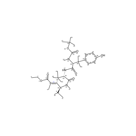 CCOC(=O)/C(C)=C/[C@H](C(C)C)N(C)C(=O)[C@@H](NC(=O)C(N(C)C(=O)OC(C)(C)C)C(C)(C)c1ccc(O)cc1)C(C)(C)C